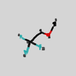 FC(F)(F)C[O][Ti]